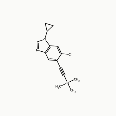 C[Si](C)(C)C#Cc1cc2ncn(C3CC3)c2cc1Cl